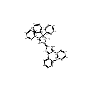 Clc1ccccc1C1=NC(=C2N=C(c3ccccc3)C(c3ccccc3)(c3ccccc3)N2)N=C1c1ccccc1